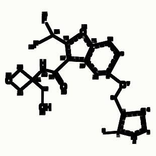 Cc1ncsc1COc1ccc2oc(C(F)F)c(C(=O)NC3(CO)COC3)c2c1